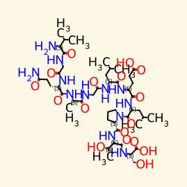 CC(C)C[C@H](NC(=O)CNC(=O)[C@H](C)NC(=O)[C@H](CCC(N)=O)NC(=O)CNC(=O)[C@@H](N)C(C)C)C(=O)N[C@@H](CCC(=O)O)C(=O)N[C@@H](CC(C)C)C(=O)N1CCC[C@H]1C(=O)N[C@H](C(=O)N[C@@H](CO)C(=O)O)[C@@H](C)O